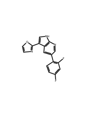 Fc1ccc(-c2cnc3[nH]cc(-c4ncco4)c3c2)c(F)c1